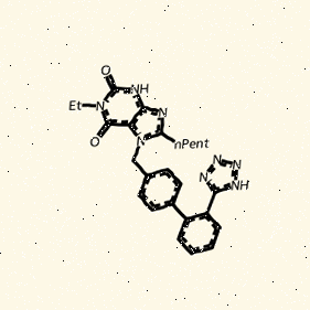 CCCCCc1nc2[nH]c(=O)n(CC)c(=O)c2n1Cc1ccc(-c2ccccc2-c2nnn[nH]2)cc1